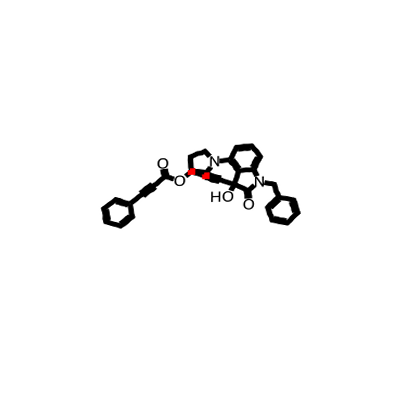 O=C(C#Cc1ccccc1)OCC#CC1(O)C(=O)N(Cc2ccccc2)c2cccc(N3CCCC3)c21